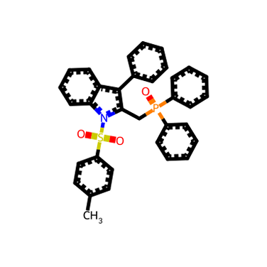 Cc1ccc(S(=O)(=O)n2c(CP(=O)(c3ccccc3)c3ccccc3)c(-c3ccccc3)c3ccccc32)cc1